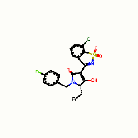 CC(C)C[C@H]1C(O)=C(C2=NS(=O)(=O)c3c(Cl)cccc32)C(=O)N1Cc1ccc(F)cc1